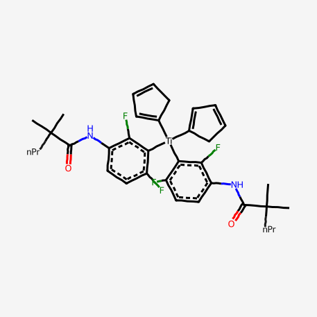 CCCC(C)(C)C(=O)Nc1ccc(F)[c]([Ti]([C]2=CC=CC2)([C]2=CC=CC2)[c]2c(F)ccc(NC(=O)C(C)(C)CCC)c2F)c1F